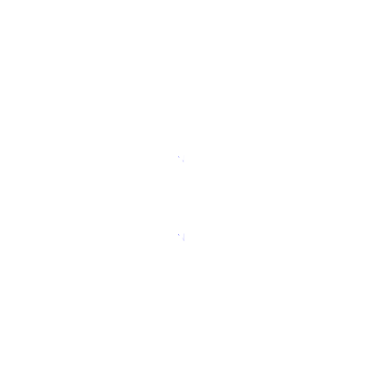 c1ccc2c(-c3ccc(-n4c5ccccc5c5cc6c7c8ccccc8ccc7n(-c7cccc8sc9ccccc9c78)c6cc54)cc3)cccc2c1